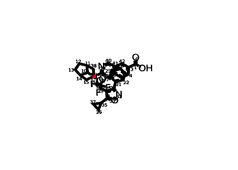 O=C(O)c1ccc2nc(NC3C4CCC3CC(OCc3c(-c5ccccc5OC(F)(F)F)noc3C3CC3)C4)ncc2c1